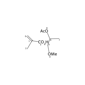 C=C(C)C(=O)O.COCC(C)OC(C)=O